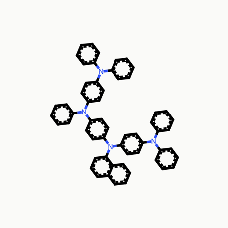 c1ccc(N(c2ccccc2)c2ccc(N(c3ccccc3)c3ccc(N(c4ccc(N(c5ccccc5)c5ccccc5)cc4)c4cccc5ccccc45)cc3)cc2)cc1